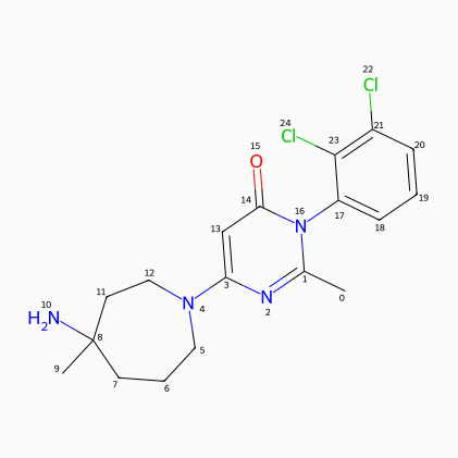 Cc1nc(N2CCCC(C)(N)CC2)cc(=O)n1-c1cccc(Cl)c1Cl